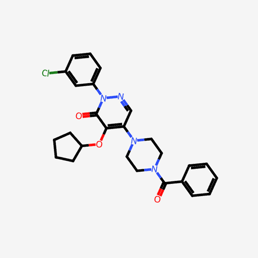 O=C(c1ccccc1)N1CCN(c2cnn(-c3cccc(Cl)c3)c(=O)c2OC2CCCC2)CC1